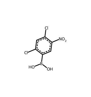 O=[N+]([O-])c1cc(B(O)O)c(Cl)cc1Cl